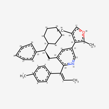 C/C=C(/c1ccc(C)cc1)c1ncc(-c2c(C)coc2C)cc1C[C@@H](c1ccccc1)C1CCCCC1